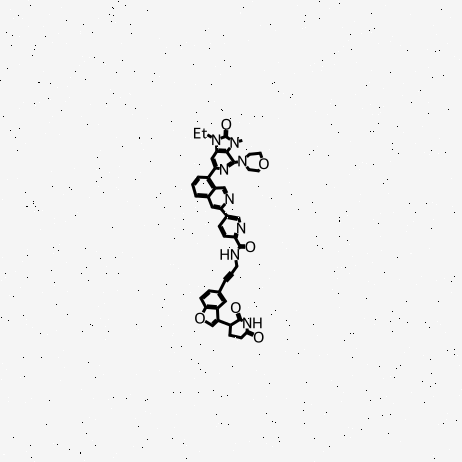 CCn1c(=O)n(C)c2c(N3CCOCC3)nc(-c3cccc4cc(-c5ccc(C(=O)NCC#Cc6ccc7occ(C8CCC(=O)NC8=O)c7c6)nc5)ncc34)cc21